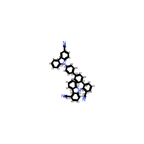 N#Cc1ccc2c(c1)c1ccccc1n2-c1ccc(-c2ccc(-c3cccc(C#N)c3-n3c4ccccc4c4c(C#N)cccc43)cc2)cc1